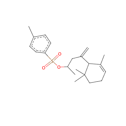 C=C(CC(C)OS(=O)(=O)c1ccc(C)cc1)C1C(C)=CCCC1(C)C